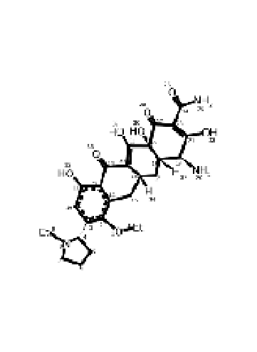 CCOc1c([C@@H]2CCCN2CC)cc(O)c2c1C[C@H]1C[C@H]3[C@H](N)C(O)=C(C(N)=O)C(=O)[C@@]3(O)C(O)=C1C2=O